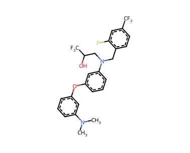 CN(C)c1cccc(Oc2cccc(N(Cc3ccc(C(F)(F)F)cc3F)CC(O)C(F)(F)F)c2)c1